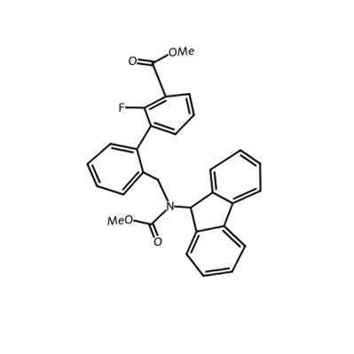 COC(=O)c1cccc(-c2ccccc2CN(C(=O)OC)C2c3ccccc3-c3ccccc32)c1F